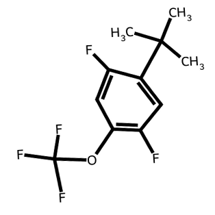 CC(C)(C)c1cc(F)c(OC(F)(F)F)cc1F